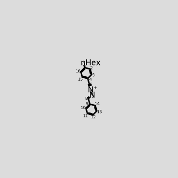 CCCCCCc1ccc(C#[N+]N=Cc2ccccc2)cc1